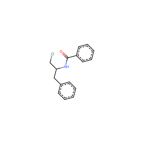 O=C(NC(CCl)Cc1ccccc1)c1ccccc1